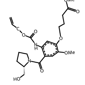 C=CCOC(=O)Nc1cc(OCCCC(=O)OC)c(OC)cc1C(=O)N1CCC[C@H]1CO